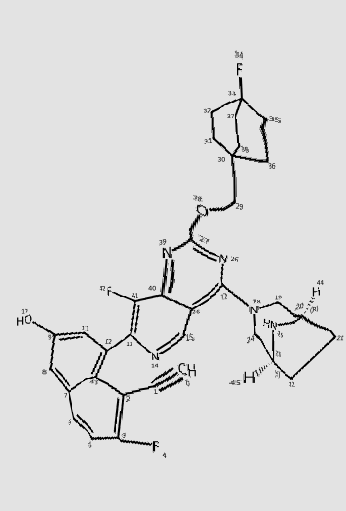 C#Cc1c(F)ccc2cc(O)cc(-c3ncc4c(N5C[C@H]6CC[C@@H](C5)N6)nc(OCC56CCC(F)(CC5)CC6)nc4c3F)c12